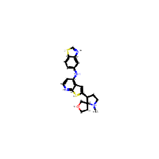 CCN1CCC(c2cc3c(Nc4ccc5scnc5c4)ccnc3s2)C12CCOC2